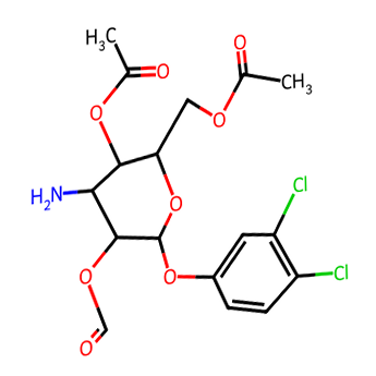 CC(=O)OCC1OC(Oc2ccc(Cl)c(Cl)c2)C(OC=O)C(N)C1OC(C)=O